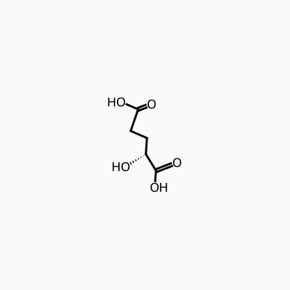 O=C(O)CC[C@@H](O)C(=O)O